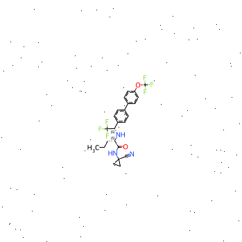 CCC[C@H](N[C@@H](c1ccc(-c2ccc(OC(F)(F)F)cc2)cc1)C(F)(F)F)C(=O)NC1(C#N)CC1